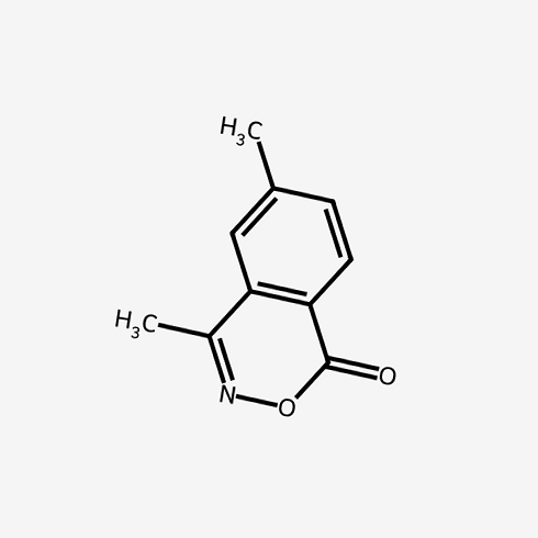 Cc1ccc2c(=O)onc(C)c2c1